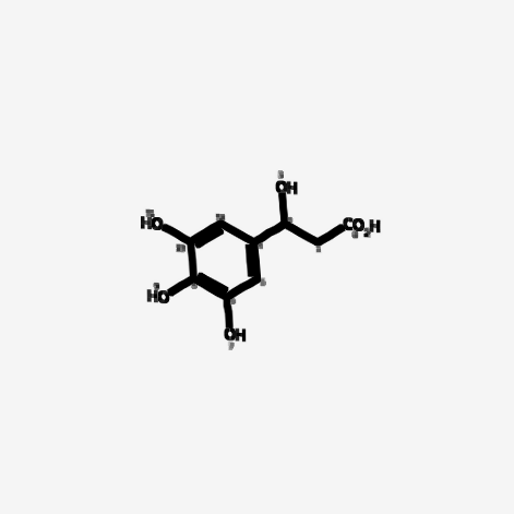 O=C(O)CC(O)c1cc(O)c(O)c(O)c1